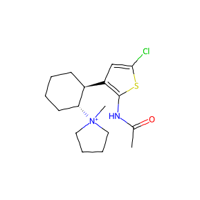 CC(=O)Nc1sc(Cl)cc1[C@@H]1CCCC[C@H]1[N+]1(C)CCCC1